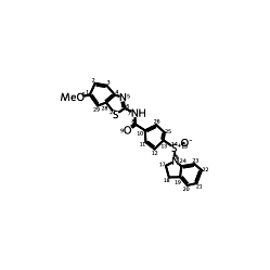 COc1ccc2nc(NC(=O)c3ccc([S+]([O-])N4CCc5ccccc54)cc3)sc2c1